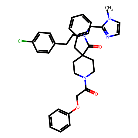 Cn1ccnc1CN(CCc1ccc(Cl)cc1)C(=O)C1(Cc2ccccc2)CCN(C(=O)COc2ccccc2)CC1